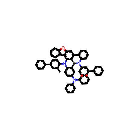 Cc1cc(-c2ccccc2)ccc1N1c2ccc(N(c3ccccc3)c3ccccc3)cc2B2c3c(cc4oc5ccccc5c4c31)-c1ccccc1N2c1cccc(-c2ccccc2)c1